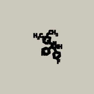 CCC1CN(c2n[nH]c(-c3ccc(F)cc3)c2-c2ccncc2)CCN1C